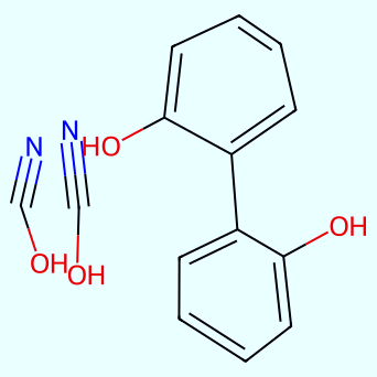 N#CO.N#CO.Oc1ccccc1-c1ccccc1O